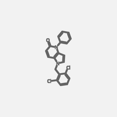 O=c1ccc2c(ccn2Cc2c(Cl)cccc2Cl)n1-c1ccccc1